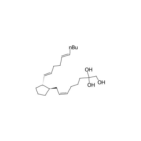 CCCC/C=C/CC/C=C/[C@H]1CCC[C@@H]1C/C=C\CCCC(O)(O)CO